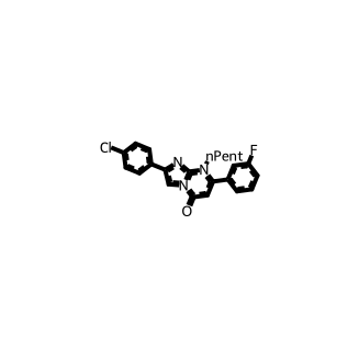 CCCCCn1c(-c2cccc(F)c2)cc(=O)n2cc(-c3ccc(Cl)cc3)nc12